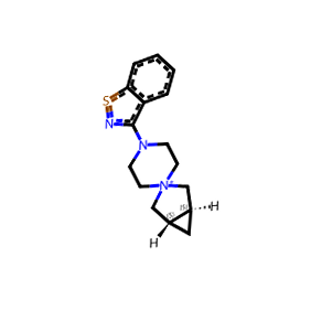 c1ccc2c(N3CC[N+]4(CC3)C[C@H]3C[C@@H]3C4)nsc2c1